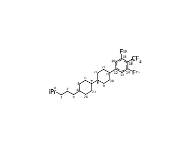 CC(C)CCCC1CCC(C2CCC(c3cc(F)c(C(F)(F)F)c(F)c3)CC2)CC1